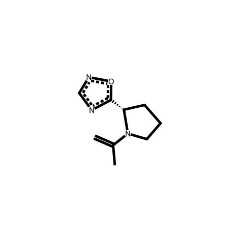 C=C(C)N1CCC[C@H]1c1ncno1